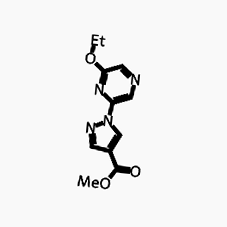 CCOc1cncc(-n2cc(C(=O)OC)cn2)n1